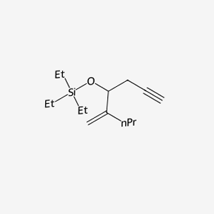 C#CCC(O[Si](CC)(CC)CC)C(=C)CCC